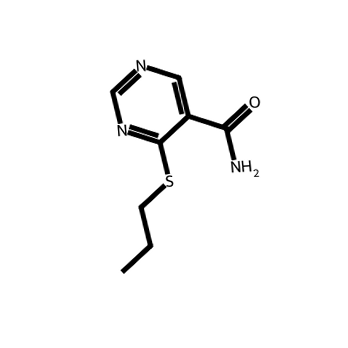 CCCSc1ncncc1C(N)=O